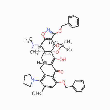 CN(C)[C@@H]1c2onc(OCc3ccccc3)c2C(=O)[C@@]2(O[Si](C)(C)C(C)(C)C)C(O)=C3C(=O)c4c(OCc5ccccc5)cc(C=O)c(N5CCCC5)c4C[C@H]3C[C@@H]12